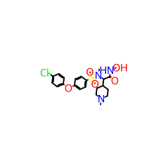 CN1CCC(C(C(=O)NO)N(C)S(=O)(=O)c2ccc(Oc3ccc(Cl)cc3)cc2)CC1